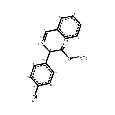 COC(=O)C(/N=C\c1ccccc1)c1ccc(O)cc1